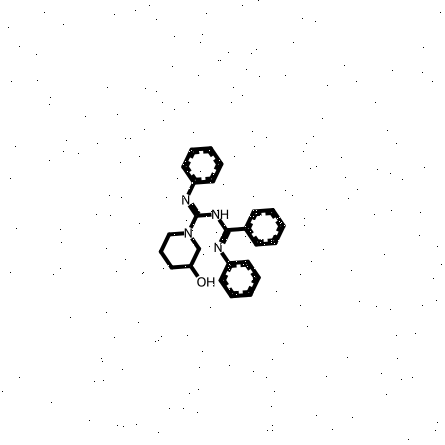 OC1CCCN(/C(=N/c2ccccc2)N/C(=N/c2ccccc2)c2ccccc2)C1